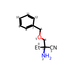 CCC(N)(C#N)COCc1ccccc1